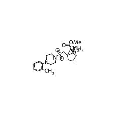 COC(=O)C1=CC2CCC1(CS(=O)(=O)N1CCN(c3ccccc3C)CC1)C2(C)C